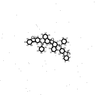 CC1(C)c2ccccc2-c2ccc(N(c3ccccc3)c3cc4oc5c6ccccc6c(N(c6ccccc6)c6ccc7oc8ccccc8c7c6)cc5c4c4ccccc34)cc21